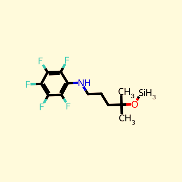 CC(C)(CCCNc1c(F)c(F)c(F)c(F)c1F)O[SiH3]